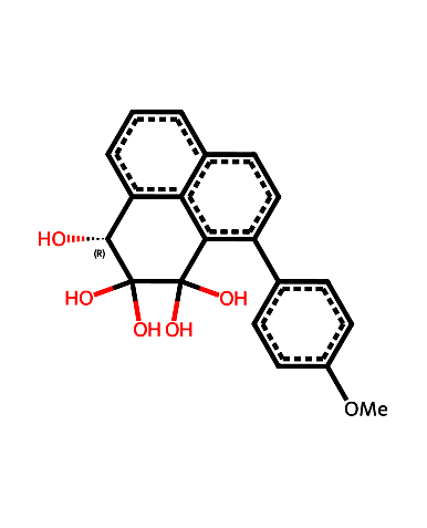 COc1ccc(-c2ccc3cccc4c3c2C(O)(O)C(O)(O)[C@@H]4O)cc1